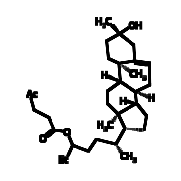 CCC(CC[C@@H](C)[C@H]1CC[C@H]2[C@@H]3CC=C4C[C@@](C)(O)CC[C@]4(C)[C@H]3CC[C@]12C)OC(=O)CCC(C)=O